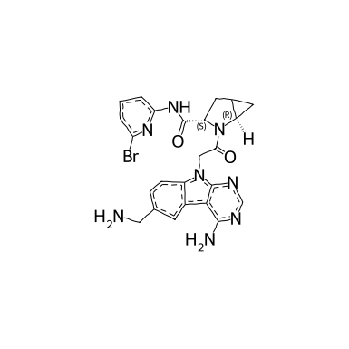 NCc1ccc2c(c1)c1c(N)ncnc1n2CC(=O)N1[C@@H]2CC2C[C@H]1C(=O)Nc1cccc(Br)n1